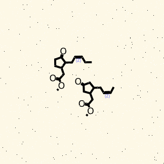 C/C=C\CC1CC(=O)CC1CC(=O)OC.CC/C=C\CC1C(=O)CCC1CC(=O)OC